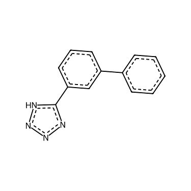 c1ccc(-c2cccc(-c3nnn[nH]3)c2)cc1